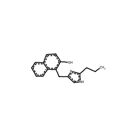 CCCc1nc(Cc2c(O)ccc3ccccc23)c[nH]1